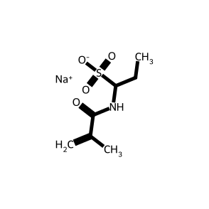 C=C(C)C(=O)NC(CC)S(=O)(=O)[O-].[Na+]